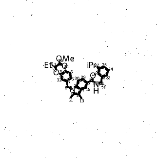 CC[C@H](Oc1cccc(Cn2c(C)c(C)c3cc(C(=O)N[C@@H](C)c4cccc(C(C)C)c4)ccc32)c1)C(=O)OC